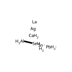 [Ag].[AlH2][SeH].[CaH2].[La].[PbH2].[SnH2]